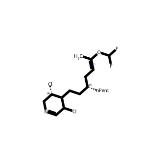 CCCCC[C@@H](C/C=C(\C)OC(F)F)CCC1C(Cl)C=NC[C@@H]1Cl